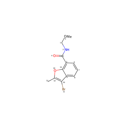 COCNC(=O)c1cccc2c(Br)c(C)oc12